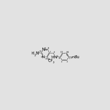 CCCCc1ccc(NCc2cnc(N)nc2C(F)(F)F)cc1